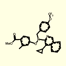 COC(=O)c1ccc(ON(Cc2ccc(OC(F)(F)F)cc2)c2ncc3ccccc3c2C2CC2)cc1C